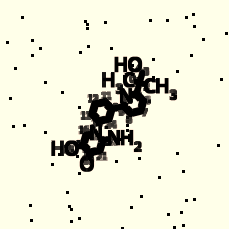 CC(C)(CO)c1cccc(-c2cccc(-n3cc(O)c(=O)cc3N)c2)n1